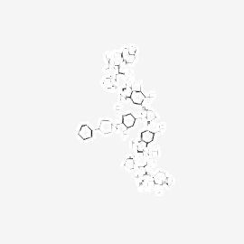 CN(C(=O)O)[C@H](C(=O)N1CCC[C@H]1c1nc2cc([C@H]3CC[C@H](c4cc5nc([C@@H]6CCCN6C(=O)[C@H](C6CCOCC6)N(C)C(=O)O)[nH]c5cc4F)N3c3cc(F)c(N4CCC(c5ccccc5)CC4)c(F)c3)c(F)cc2[nH]1)C1CCOCC1